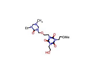 CCN1CN(C)CN(COCCn2c(=O)n(CCO)c(=O)n(CCOC)c2=O)C1=O